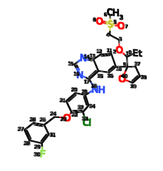 CCC(OCCS(C)(=O)=O)C1(c2ccc3ncnc(Nc4ccc(OCc5cccc(F)c5)c(Cl)c4)c3c2)CC=CO1